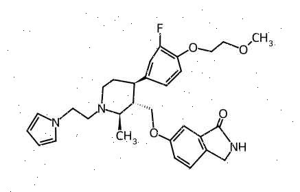 COCCOc1ccc([C@@H]2CCN(CCn3cccc3)[C@H](C)[C@H]2COc2ccc3c(c2)C(=O)NC3)cc1F